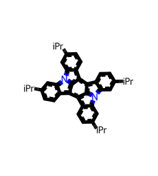 CC(C)c1ccc2c3c4c5ccc(C(C)C)cc5n5c6cc(C(C)C)ccc6c(c6c7ccc(C(C)C)cc7n(c2c1)c36)c45